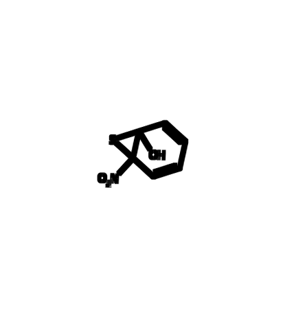 O=[N+]([O-])C12C=CC=CC1(O)S2